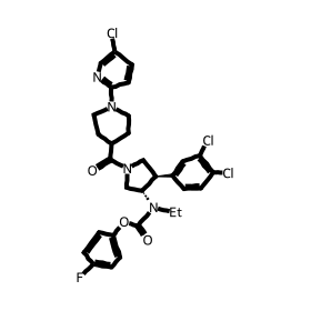 CCN(C(=O)Oc1ccc(F)cc1)[C@@H]1CN(C(=O)C2CCN(c3ccc(Cl)cn3)CC2)C[C@H]1c1ccc(Cl)c(Cl)c1